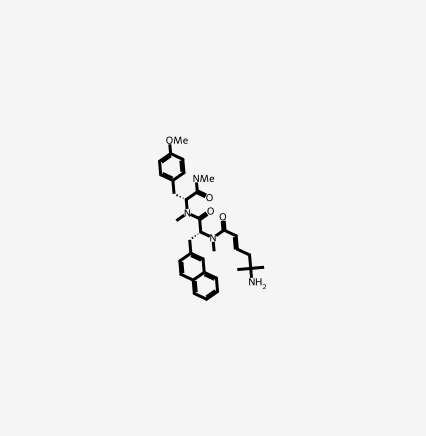 CNC(=O)[C@@H](Cc1ccc(OC)cc1)N(C)C(=O)[C@@H](Cc1ccc2ccccc2c1)N(C)C(=O)/C=C/CC(C)(C)N